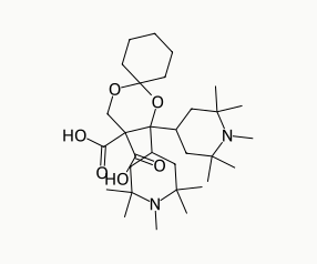 CN1C(C)(C)CC(C2(C3CC(C)(C)N(C)C(C)(C)C3)OC3(CCCCC3)OCC2(C(=O)O)C(=O)O)CC1(C)C